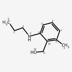 CCCNc1cccc(C)c1CO